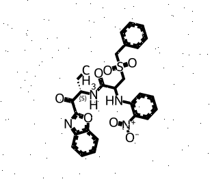 CC[C@H](NC(=O)C(CS(=O)(=O)Cc1ccccc1)Nc1ccccc1[N+](=O)[O-])C(=O)c1nc2ccccc2o1